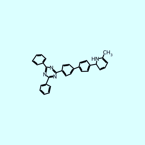 CC1=CC=CC(c2ccc(-c3ccc(-c4nc(-c5ccccc5)nc(-c5ccccc5)n4)cc3)cc2)N1